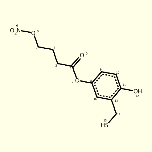 O=C(CCCO[N+](=O)[O-])Oc1ccc(O)c(CS)c1